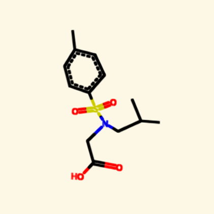 Cc1ccc(S(=O)(=O)N(CC(=O)O)CC(C)C)cc1